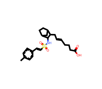 Cc1ccc(C=CS(=O)(=O)NC2C3CCC(C3)C2CC=CCCCC(=O)O)cc1